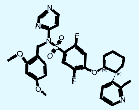 COc1ccc(CN(c2ccncn2)S(=O)(=O)c2cc(F)c(O[C@H]3CCCC[C@@H]3c3cccnc3C)cc2F)c(OC)c1